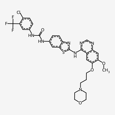 COc1cc2ncnc(Nc3nc4ccc(NC(=O)Nc5ccc(Cl)c(C(F)(F)F)c5)cc4s3)c2cc1OCCCN1CCOCC1